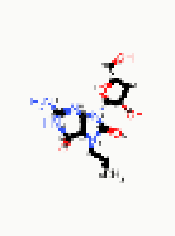 C=CCn1c(=O)n([C@@H]2O[C@H](CO)C[C@H]2O)c2nc(N)[nH]c(=O)c21